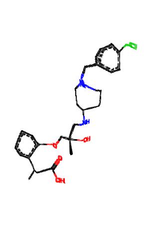 CC(C(=O)O)c1ccccc1OC[C@@](C)(O)CNC1CCN(Cc2ccc(Cl)cc2)CC1